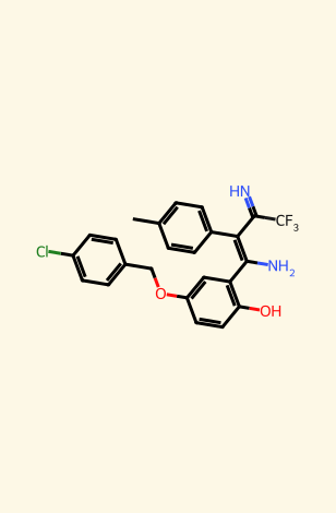 Cc1ccc(/C(C(=N)C(F)(F)F)=C(/N)c2cc(OCc3ccc(Cl)cc3)ccc2O)cc1